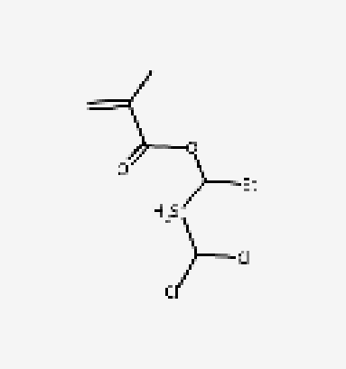 C=C(C)C(=O)OC(CC)[SiH2]C(Cl)Cl